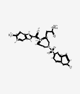 CNC(=O)CC1CN(S(=O)(=O)c2ccc3cc(Cl)ccc3c2)CCN1C(=O)c1nc2cc(C)ncc2s1.I